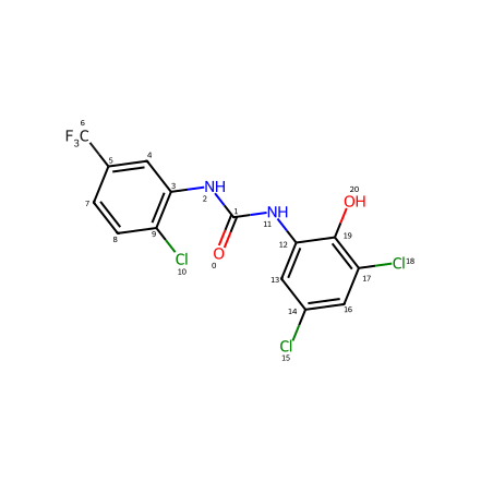 O=C(Nc1cc(C(F)(F)F)ccc1Cl)Nc1cc(Cl)cc(Cl)c1O